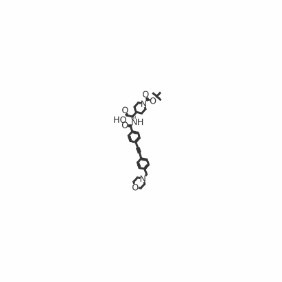 CC(C)(C)OC(=O)N1CCC([C@H](NC(=O)c2ccc(C#Cc3ccc(CN4CCOCC4)cc3)cc2)C(=O)O)CC1